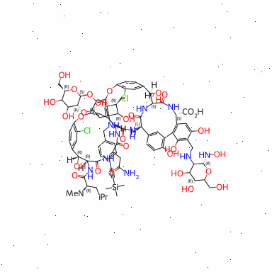 CN[C@H](CC(C)C)C(=O)N[C@H]1C(=O)NC(CC(N)=O)C(=O)N[C@H]2C(=O)N[C@@H]3C(=O)N[C@H](C(=O)N[C@H](C(=O)O)c4cc(O)c(CNC5C(O)[C@@H](O)C(CO)O[C@H]5NO)c(O)c4-c4cc3ccc4O)[C@H](O)c3ccc(c(Cl)c3)Oc3cc2cc(c3O[C@@H]2O[C@H](CO)C(O)C(O)[C@H]2O[C@H](O)CC2(NCc3ccc(C#C[Si](C)(C)C)cc3)C[C@@H](C)[C@H]2O)Oc2ccc(cc2Cl)[C@H]1O